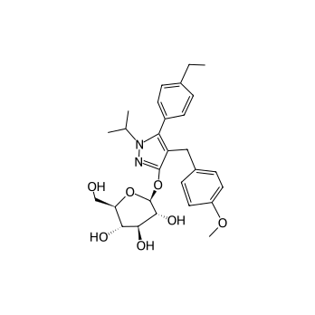 CCc1ccc(-c2c(Cc3ccc(OC)cc3)c(O[C@@H]3O[C@H](CO)[C@@H](O)[C@H](O)[C@H]3O)nn2C(C)C)cc1